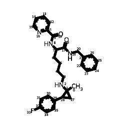 CC1(NCCCCC(NC(=O)c2ccccn2)C(=O)NCc2ccccc2)CC1c1ccc(F)cc1